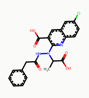 CC(C(=O)O)N(NC(=O)Cc1ccccc1)c1nc2ccc(Cl)cc2cc1C(=O)O